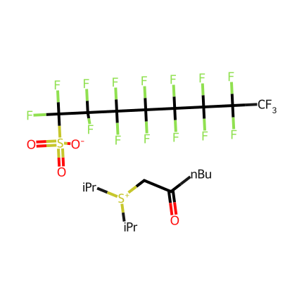 CCCCC(=O)C[S+](C(C)C)C(C)C.O=S(=O)([O-])C(F)(F)C(F)(F)C(F)(F)C(F)(F)C(F)(F)C(F)(F)C(F)(F)C(F)(F)F